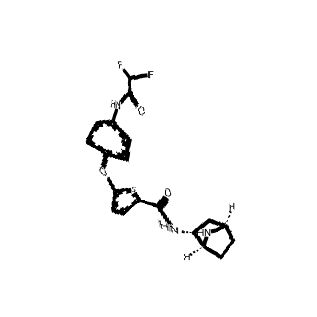 O=C(N[C@@H]1C[C@H]2CC[C@@H]1N2)c1ccc(Oc2ccc(NC(=O)C(F)F)cc2)s1